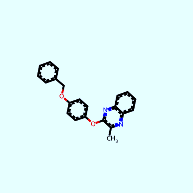 Cc1nc2ccccc2nc1Oc1ccc(OCc2ccccc2)cc1